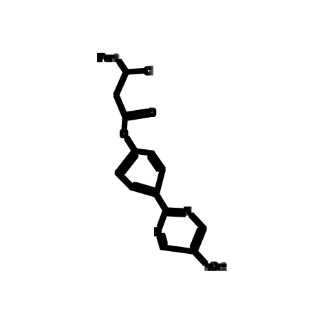 CCCCCCCCc1cnc(-c2ccc(OC(=O)CC(Cl)C(C)CCC)cc2)nc1